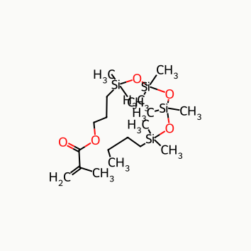 C=C(C)C(=O)OCCC[Si](C)(C)O[Si](C)(C)O[Si](C)(C)O[Si](C)(C)CCCC